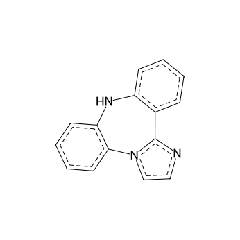 c1ccc2c(c1)Nc1ccccc1-n1ccnc1-2